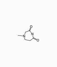 CN1CCC(=O)[N]C(=O)C1